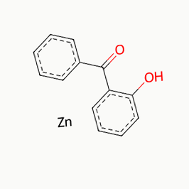 O=C(c1ccccc1)c1ccccc1O.[Zn]